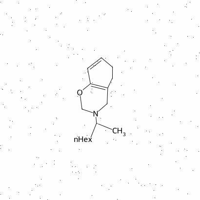 CCCCCCC(C)N1COC2=C(CCC=C2)C1